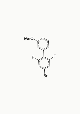 COc1[c]ccc(-c2c(F)cc(Br)cc2F)c1